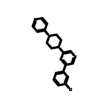 Clc1cccc(-c2cncc(N3CCN(c4ccncc4)CC3)n2)c1